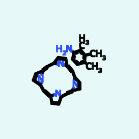 C1=CC2=NC1=CC1=NC(=CC3=NC(=CC4=NC(=C2)C=C4)C=C3)C=C1.Cc1ccc(N)c(C)c1C